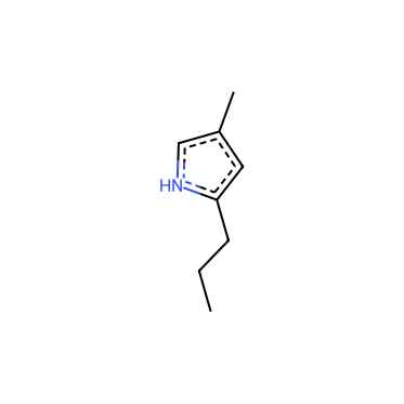 CCCc1cc(C)c[nH]1